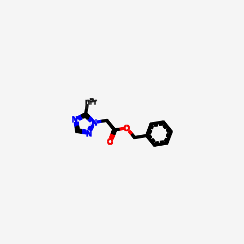 CCCc1ncnn1CC(=O)OCc1ccccc1